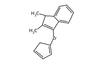 CC1=[C]([Zr][C]2=CC=CC2)c2ccccc2C1C